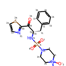 C[N+]1([O-])CCN(S(=O)(=O)N[C@@H](Cc2ccccc2)C(=O)c2n[c]cs2)CC1